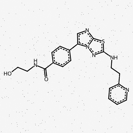 O=C(NCCO)c1ccc(-c2cnc3sc(NCCc4ccccn4)nn23)cc1